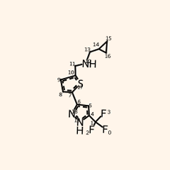 FC(F)(F)c1cc(-c2ccc(CNCC3CC3)s2)n[nH]1